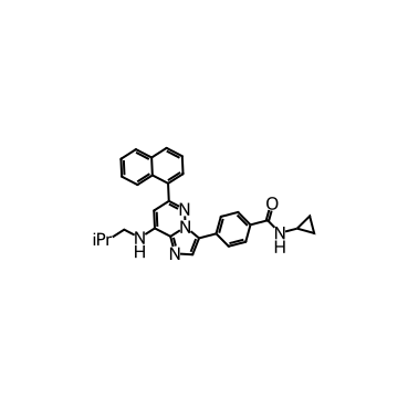 CC(C)CNc1cc(-c2cccc3ccccc23)nn2c(-c3ccc(C(=O)NC4CC4)cc3)cnc12